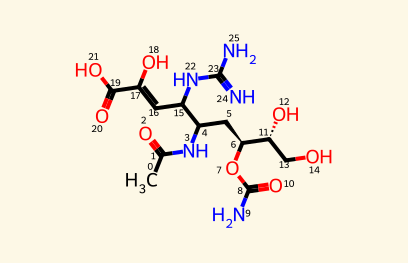 CC(=O)NC(C[C@H](OC(N)=O)[C@H](O)CO)C(/C=C(\O)C(=O)O)NC(=N)N